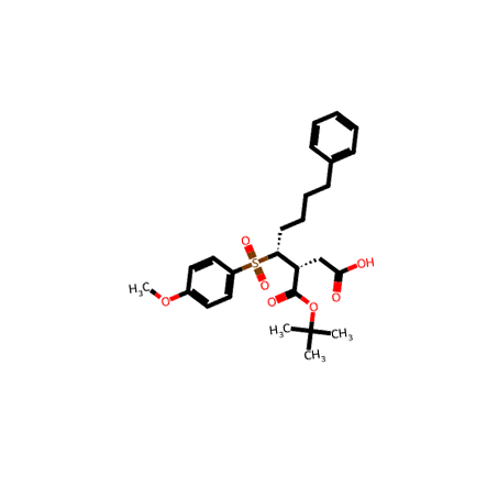 COc1ccc(S(=O)(=O)[C@H](CCCCc2ccccc2)[C@H](CC(=O)O)C(=O)OC(C)(C)C)cc1